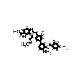 COCCn1c(Cc2ccc(-c3ccc(N)c(OCc4ccc(C)cc4F)c3)cc2F)nc2ccc(C(O)O)cc21